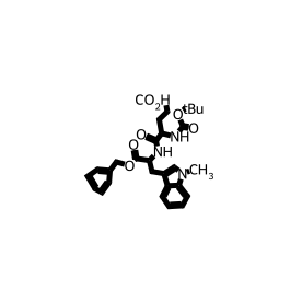 Cn1cc(CC(NC(=O)C(CCC(=O)O)NC(=O)OC(C)(C)C)C(=O)OCc2ccccc2)c2ccccc21